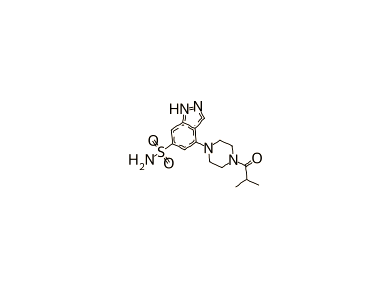 CC(C)C(=O)N1CCN(c2cc(S(N)(=O)=O)cc3[nH]ncc23)CC1